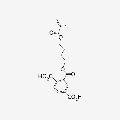 C=C(C)C(=O)OCCCCOC(=O)c1cc(C(=O)O)ccc1C(=O)O